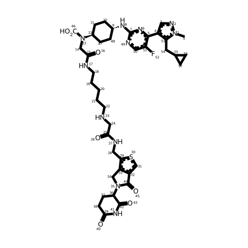 Cn1ncc(-c2nc(N[C@H]3CC[C@H](N(CC(=O)NCCCCCNCC(=O)NCc4scc5c4CN(C4CCC(=O)NC4=O)C5=O)C(=O)O)CC3)ncc2F)c1CC1CC1